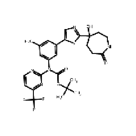 Cc1cc(-c2cnc(C3(O)CCNC(=O)CC3)s2)cc(N(C(=O)OC(C)(C)C)c2nccc(C(F)(F)F)n2)c1